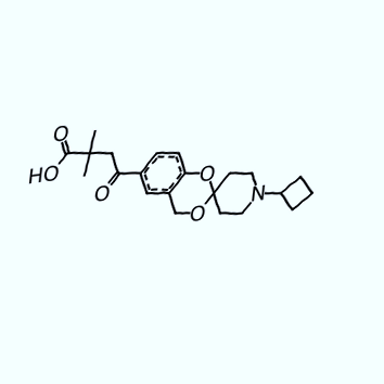 CC(C)(CC(=O)c1ccc2c(c1)COC1(CCN(C3CCC3)CC1)O2)C(=O)O